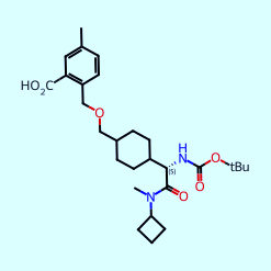 Cc1ccc(COCC2CCC([C@H](NC(=O)OC(C)(C)C)C(=O)N(C)C3CCC3)CC2)c(C(=O)O)c1